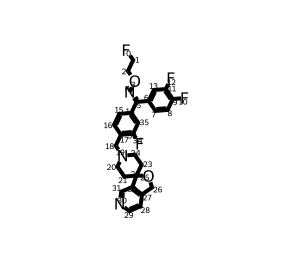 FCCO/N=C(\c1ccc(F)c(F)c1)c1ccc(CN2CCC3(CC2)OCc2ccncc23)c(F)c1